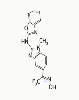 Cn1c(Nc2nc3ccccc3o2)nc2cc(/C(=N/O)C(F)(F)F)ccc21